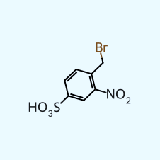 O=[N+]([O-])c1cc(S(=O)(=O)O)ccc1CBr